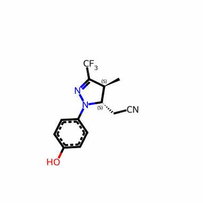 C[C@@H]1C(C(F)(F)F)=NN(c2ccc(O)cc2)[C@H]1CC#N